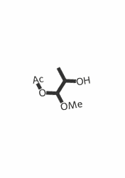 COC(OC(C)=O)C(C)O